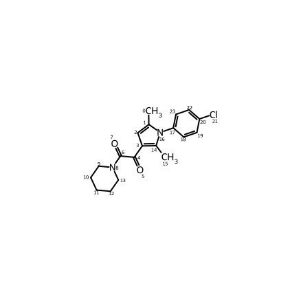 Cc1cc(C(=O)C(=O)N2CCCCC2)c(C)n1-c1ccc(Cl)cc1